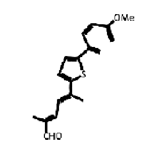 C=C(/C=C\C(=C)c1ccc(/C(C)=C/C=C(\C)C=O)s1)OC